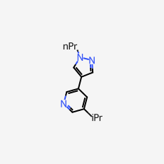 CCCn1cc(-c2cncc(C(C)C)c2)cn1